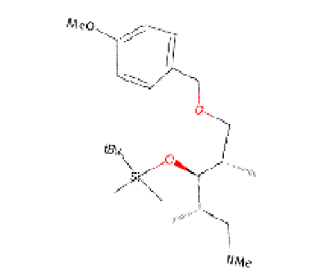 CNC[C@H](C)[C@@H](O[Si](C)(C)C(C)(C)C)[C@@H](C)COCc1ccc(OC)cc1